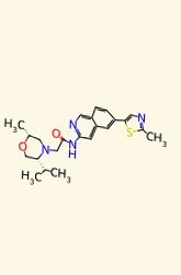 Cc1ncc(-c2ccc3cnc(NC(=O)CN4C[C@@H](C)OC[C@H]4C(C)C)cc3c2)s1